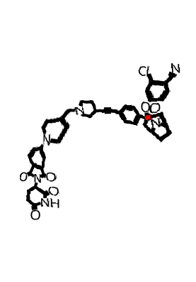 N#Cc1ccc(OC2CC3CCC(C2)N3C(=O)c2ccc(C#CC3CCN(CC4CCN(c5ccc6c(c5)C(=O)N(C5CCC(=O)NC5=O)C6=O)CC4)CC3)cc2)cc1Cl